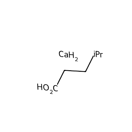 CC(C)CCC(=O)O.[CaH2]